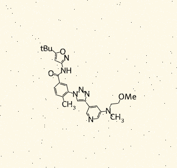 COCCN(C)c1cncc(-c2cn(-c3cc(C(=O)Nc4cc(C(C)(C)C)on4)ccc3C)nn2)c1